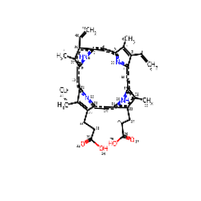 C=CC1=C(C)c2cc3[nH]c(cc4nc(cc5[nH]c(cc1n2)c(C)c5CCC(=O)O)C(CCC(=O)O)=C4C)c(C)c3C=C.[Cu]